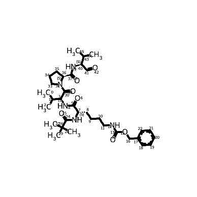 CC(C)[C@H](NC(=O)[C@H](CCCCNC(=O)OCc1ccccc1)NC(=O)C(C)(C)C)C(=O)N1CCC[C@H]1C(=O)N[C@H](C=O)C(C)C